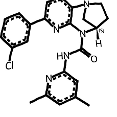 Cc1cc(C)nc(NC(=O)N2c3nc(-c4cccc(Cl)c4)ccc3N3CC[C@H]2C3)c1